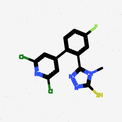 Cn1c(S)nnc1-c1cc(F)ccc1-c1cc(Cl)nc(Cl)c1